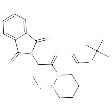 CC(C)(C)OC(=O)[C@@H]1CCCNN1C(=O)[C@H](CN)N1C(=O)c2ccccc2C1=O